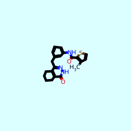 Cc1ccsc1C(=O)Nc1cccc(Cc2n[nH]c(=O)c3c2CCCC3)c1